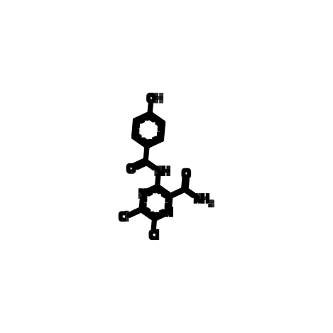 NC(=O)c1nc(Cl)c(Cl)nc1NC(=O)c1ccc(O)cc1